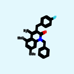 COc1cc(OC)c2c(C)c(Cc3ccc(F)cc3)c(=O)n(Cc3ccccc3)c2c1